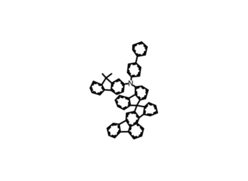 CC1(C)c2ccccc2-c2ccc(N(c3ccc(-c4ccccc4)cc3)c3cccc4c3-c3ccccc3C43c4ccccc4-c4c3cc3c5c(cccc45)-c4ccccc4-3)cc21